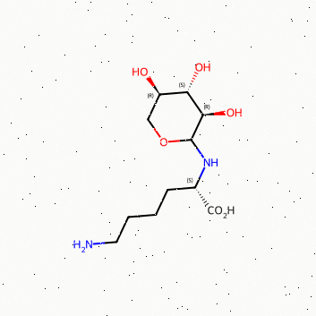 NCCCC[C@H](NC1OC[C@@H](O)[C@H](O)[C@H]1O)C(=O)O